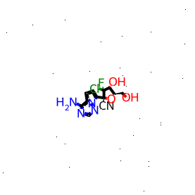 N#C[C@@]1(c2ccc3c(N)ncnn23)O[C@H](CO)C(O)[C@]1(F)Cl